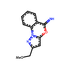 COCc1cc2oc(=N)c3ccccc3n2n1